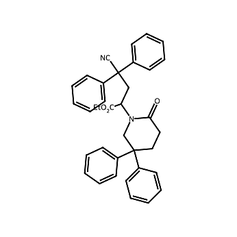 CCOC(=O)C(CC(C#N)(c1ccccc1)c1ccccc1)N1CC(c2ccccc2)(c2ccccc2)CCC1=O